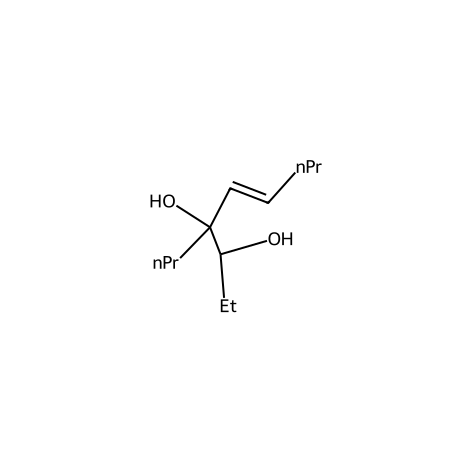 [CH2]CC/C=C/C(O)(CCC)C(O)CC